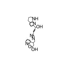 O=C(O)CC(Cn1cnc(C#CC(O)c2ccc3c(n2)NCCC3)c1)c1cccnc1